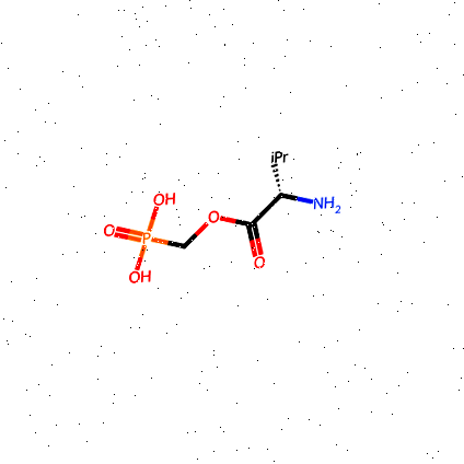 CC(C)[C@H](N)C(=O)OCP(=O)(O)O